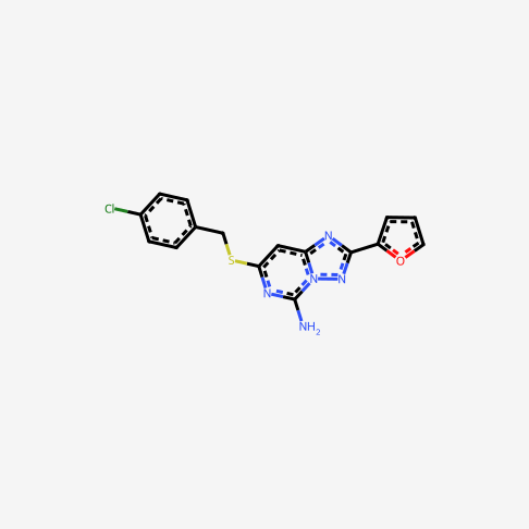 Nc1nc(SCc2ccc(Cl)cc2)cc2nc(-c3ccco3)nn12